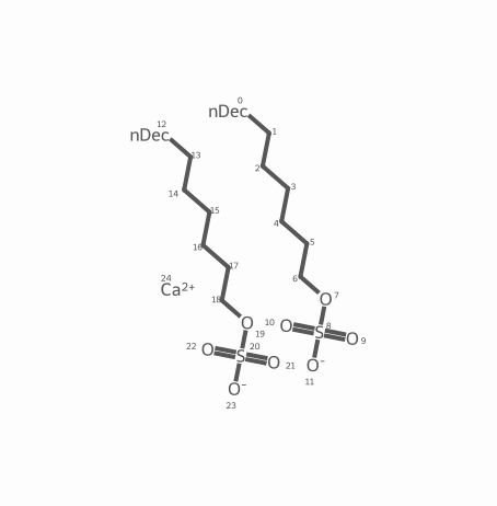 CCCCCCCCCCCCCCCCOS(=O)(=O)[O-].CCCCCCCCCCCCCCCCOS(=O)(=O)[O-].[Ca+2]